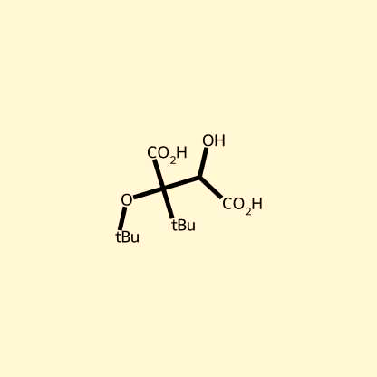 CC(C)(C)OC(C(=O)O)(C(O)C(=O)O)C(C)(C)C